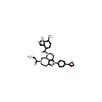 C=CC(=O)N1CCc2nn(-c3ccc(C45CC(C4)C5)cc3)c3c2C(C1)N(C(=O)c1ccc(C(F)(F)F)c2[nH]ncc12)CC3